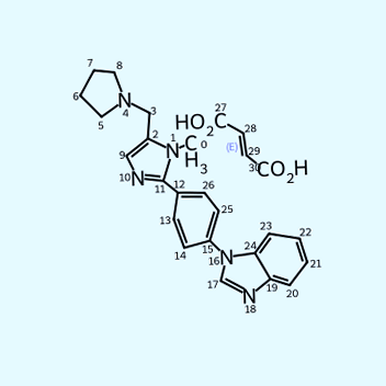 Cn1c(CN2CCCC2)cnc1-c1ccc(-n2cnc3ccccc32)cc1.O=C(O)/C=C/C(=O)O